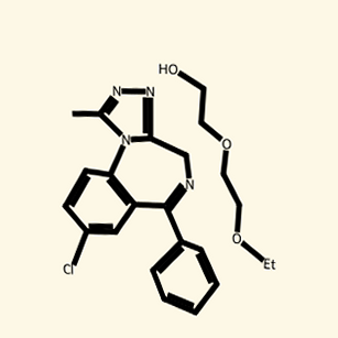 CCOCCOCCO.Cc1nnc2n1-c1ccc(Cl)cc1C(c1ccccc1)=NC2